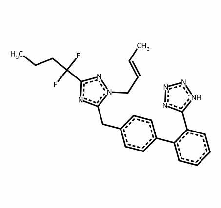 C/C=C/Cn1nc(C(F)(F)CCC)nc1Cc1ccc(-c2ccccc2-c2nnn[nH]2)cc1